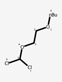 CCCCOCCOC(Cl)Cl